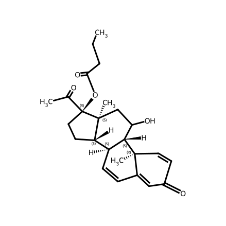 CCCC(=O)O[C@]1(C(C)=O)CC[C@H]2[C@@H]3C=CC4=CC(=O)C=C[C@]4(C)[C@H]3C(O)C[C@@]21C